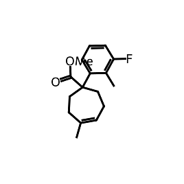 COC(=O)C1(c2cccc(F)c2C)CCC=C(C)CC1